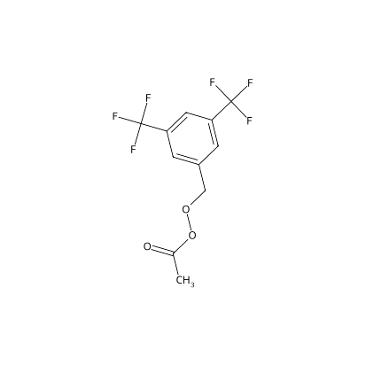 CC(=O)OOCc1cc(C(F)(F)F)cc(C(F)(F)F)c1